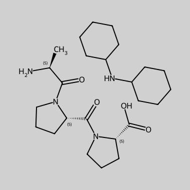 C1CCC(NC2CCCCC2)CC1.C[C@H](N)C(=O)N1CCC[C@H]1C(=O)N1CCC[C@H]1C(=O)O